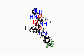 C[C@H](NC(=O)O[C@H](Cn1cnc(-c2ccc(C(F)(F)F)cc2)c1)C(C)(C)C)[C@H](O)C(=O)Nc1ccn[nH]1